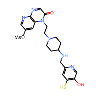 COc1cnc2ncc(=O)n(CCN3CCC(NCc4cc(S)c(O)cn4)CC3)c2c1